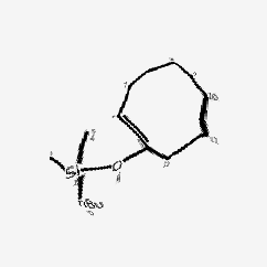 CCCC[Si](C)(C)O/C1=C/CCCCCC1